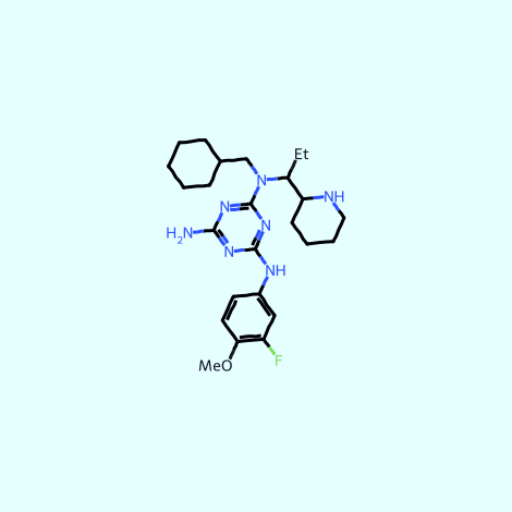 CCC(C1CCCCN1)N(CC1CCCCC1)c1nc(N)nc(Nc2ccc(OC)c(F)c2)n1